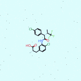 CC([C@H](C(=O)Nc1cc(C[C@H](C)C(=O)O)ccc1Cl)c1ccc(Cl)cc1)C(F)(F)F